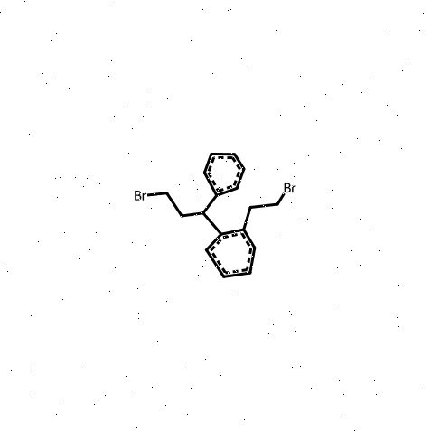 BrCCc1ccccc1C(CCBr)c1ccccc1